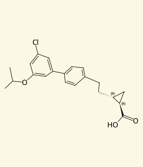 CC(C)Oc1cc(Cl)cc(-c2ccc(CC[C@@H]3C[C@H]3C(=O)O)cc2)c1